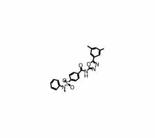 Cc1cc(C)cc(-c2nnc(NC(=O)c3ccc(S(=O)(=O)N(C)c4ccccc4)cc3)o2)c1